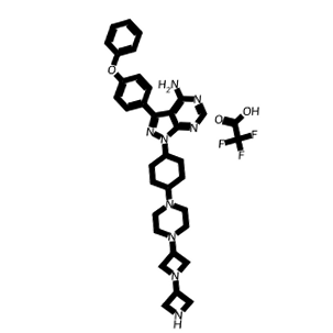 Nc1ncnc2c1c(-c1ccc(Oc3ccccc3)cc1)nn2C1CCC(N2CCN(C3CN(C4CNC4)C3)CC2)CC1.O=C(O)C(F)(F)F